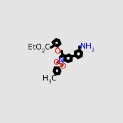 CCOC(=O)Cc1ccccc1OCc1cn(S(=O)(=O)c2ccc(C)cc2)c2ccc(-c3cccc(CN)c3)cc12